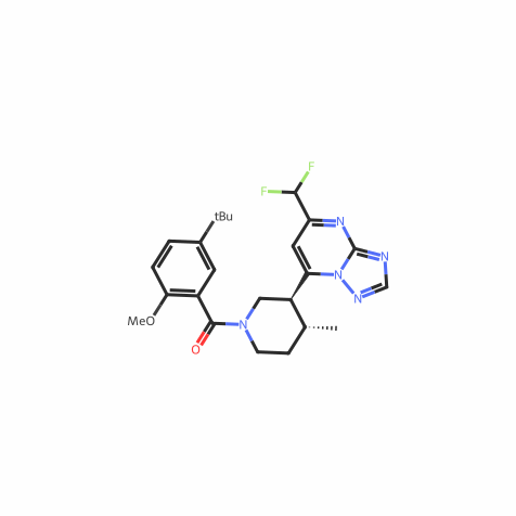 COc1ccc(C(C)(C)C)cc1C(=O)N1CC[C@@H](C)[C@H](c2cc(C(F)F)nc3ncnn23)C1